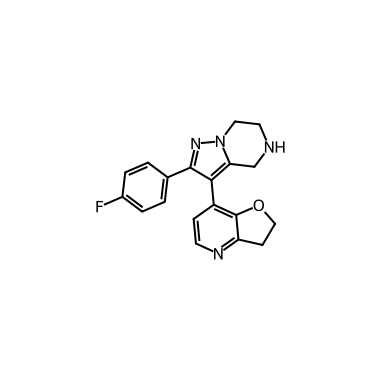 Fc1ccc(-c2nn3c(c2-c2ccnc4c2OCC4)CNCC3)cc1